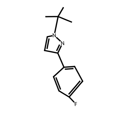 CC(C)(C)n1ccc(-c2ccc(F)cc2)n1